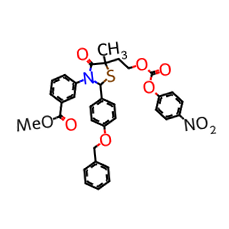 COC(=O)c1cccc(N2C(=O)C(C)(CCOC(=O)Oc3ccc([N+](=O)[O-])cc3)SC2c2ccc(OCc3ccccc3)cc2)c1